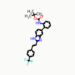 CC(C)(C)OC(=O)Nc1ccccc1-c1ccc2[nH]c(C=Cc3ccc(C(F)(F)F)cc3)nc2c1